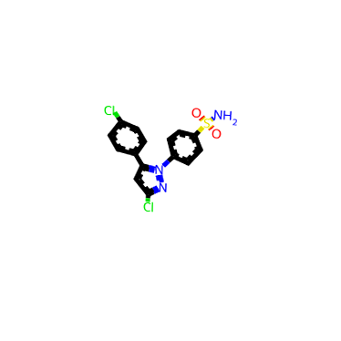 NS(=O)(=O)c1ccc(-n2nc(Cl)cc2-c2ccc(Cl)cc2)cc1